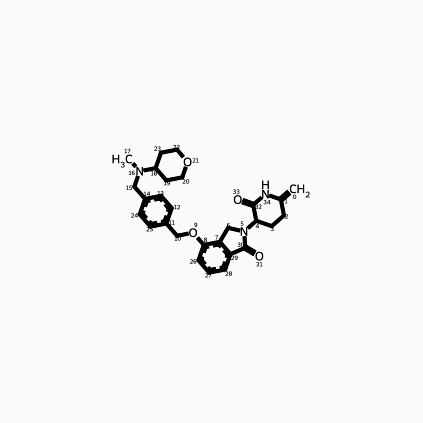 C=C1CCC(N2Cc3c(OCc4ccc(CN(C)C5CCOCC5)cc4)cccc3C2=O)C(=O)N1